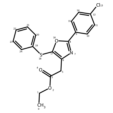 CCOC(=O)Cc1nc(-c2ccc(Cl)cc2)oc1Sc1ccccc1